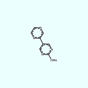 COc1ncc(-c2cnccn2)cn1